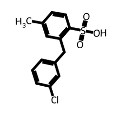 Cc1ccc(S(=O)(=O)O)c(Cc2cccc(Cl)c2)c1